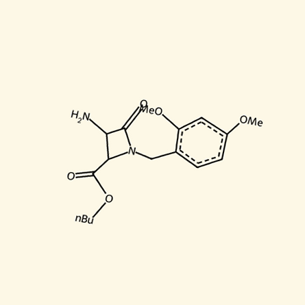 CCCCOC(=O)C1C(N)C(=O)N1Cc1ccc(OC)cc1OC